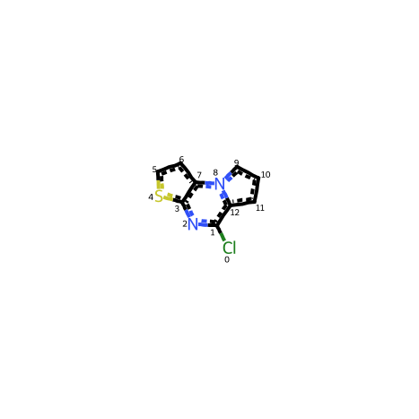 Clc1nc2sccc2n2cccc12